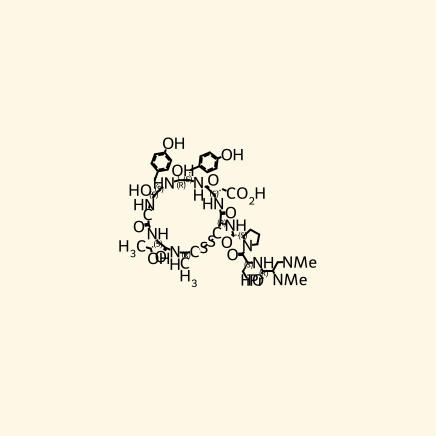 CNCC(NC)[C@@H](O)N[C@@H](CC(C)C)C(=O)N1CCC[C@H]1C(=O)N[C@H]1CSSC[C@@H](C)NC(=O)[C@H](C(C)O)NC(=O)CN[C@@H](O)[C@H](Cc2ccc(O)cc2)N[C@H](O)[C@H](Cc2ccc(O)cc2)NC(=O)[C@H](CC(=O)O)NC1=O